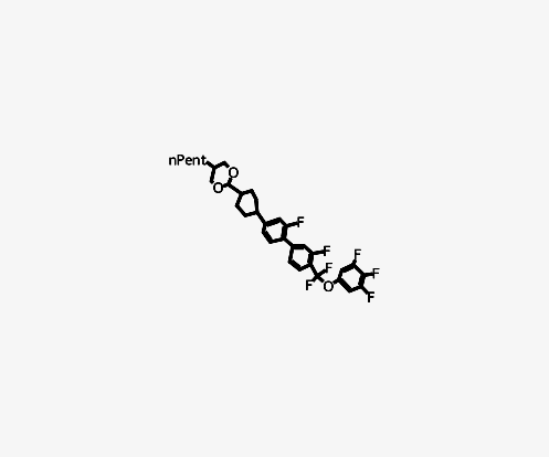 CCCCCC1COC(C2CCC(c3ccc(-c4ccc(C(F)(F)Oc5cc(F)c(F)c(F)c5)c(F)c4)c(F)c3)CC2)OC1